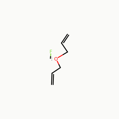 C=CCOCC=C.[C]F